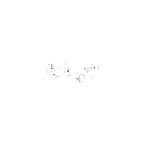 O=C(Cn1ncc2ccc(NI)nc21)Nc1ccn2ccnc2c1